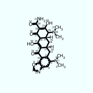 CN(C)c1cc2ncoc2c2c1C[C@H]1C[C@@H]3C(C(=O)C(C(N)=O)=C(O)C3N(C)C)C(O)=C1C2=O